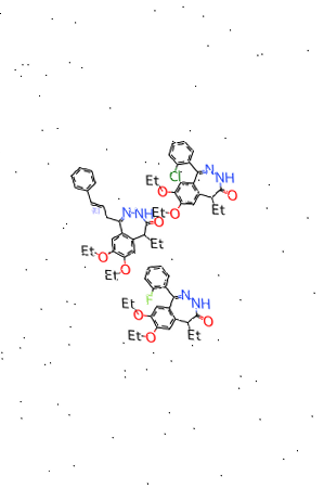 CCOc1cc2c(cc1OCC)C(CC)C(=O)NN=C2C/C=C/c1ccccc1.CCOc1cc2c(cc1OCC)C(CC)C(=O)NN=C2c1ccccc1Cl.CCOc1cc2c(cc1OCC)C(CC)C(=O)NN=C2c1ccccc1F